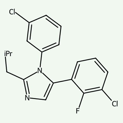 CC(C)Cc1ncc(-c2cccc(Cl)c2F)n1-c1cccc(Cl)c1